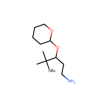 CCCCC(C)(C)C(CCN)OC1CCCCO1